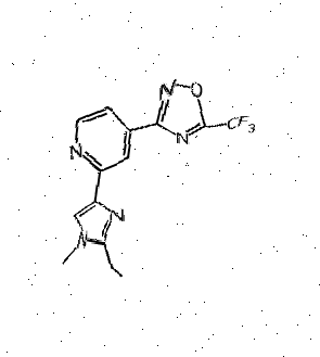 Cc1nc(-c2cc(-c3noc(C(F)(F)F)n3)ccn2)cn1C